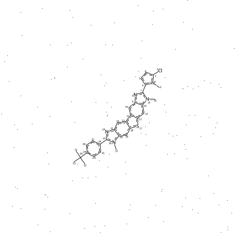 Cn1c(Cl)ccc1-c1nc2cc3c(cc2n1C)sc1cc2c(cc13)nc(-c1ccc(C(C)(C)C)cc1)n2C